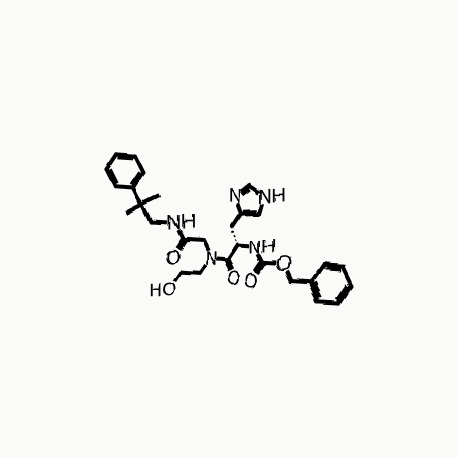 CC(C)(CNC(=O)CN(CCO)C(=O)[C@H](Cc1c[nH]cn1)NC(=O)OCc1ccccc1)c1ccccc1